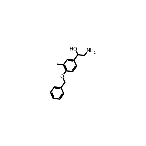 Cc1cc(C(O)CN)ccc1OCc1ccccc1